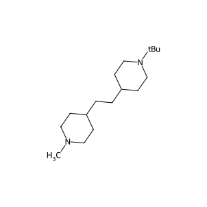 CN1CCC(CCC2CCN(C(C)(C)C)CC2)CC1